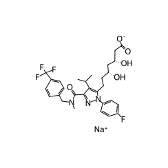 CC(C)c1c(C(=O)N(C)Cc2ccc(C(F)(F)F)cc2)nn(-c2ccc(F)cc2)c1CC[C@@H](O)C[C@@H](O)CC(=O)[O-].[Na+]